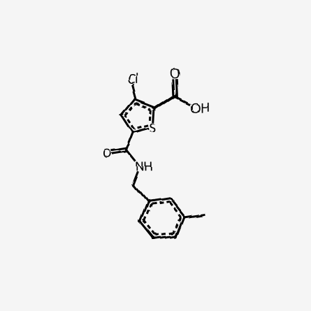 Cc1cccc(CNC(=O)c2cc(Cl)c(C(=O)O)s2)c1